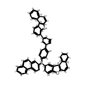 c1cc(-c2ccc(N(c3ccc4c(ccc5ccccc54)c3)c3ccc4oc5ccc6ccccc6c5c4c3)cc2)cc(-c2cccc3c2sc2ccc4ccccc4c23)c1